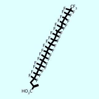 C=C(CC(F)(F)C(F)(F)C(F)(F)C(F)(F)C(F)(F)C(F)(F)C(F)(F)C(F)(F)C(F)(F)C(F)(F)C(F)(F)C(F)(F)C(F)(F)C(F)(F)C(F)(F)C(F)(F)C(F)(F)C(F)(F)F)C(=O)O